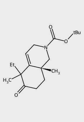 CCC1(C)C(=O)CC[C@@]2(C)CN(C(=O)OC(C)(C)C)CC=C12